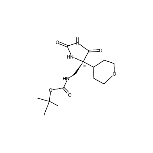 CC(C)(C)OC(=O)NC[C@@]1(C2CCOCC2)NC(=O)NC1=O